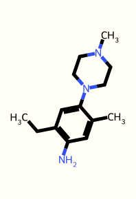 CCc1cc(N2CCN(C)CC2)c(C)cc1N